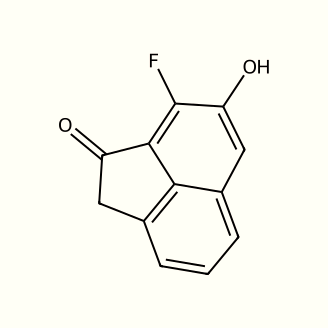 O=C1Cc2cccc3cc(O)c(F)c1c23